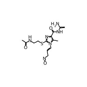 C=C(N)NC(=O)c1nc(SCCNC(C)=O)n(C=CCN=O)c1C